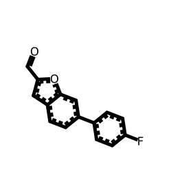 O=Cc1cc2ccc(-c3ccc(F)cc3)cc2o1